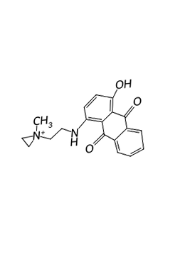 C[N+]1(CCNc2ccc(O)c3c2C(=O)c2ccccc2C3=O)CC1